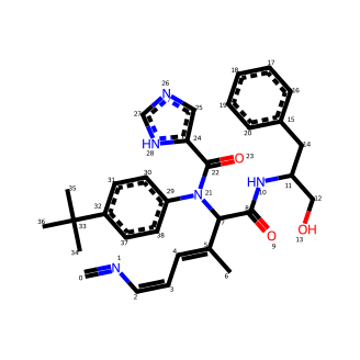 C=N/C=C\C=C(/C)C(C(=O)NC(CO)Cc1ccccc1)N(C(=O)c1cnc[nH]1)c1ccc(C(C)(C)C)cc1